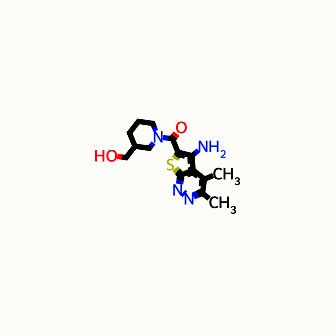 Cc1nnc2sc(C(=O)N3CCCC(CO)C3)c(N)c2c1C